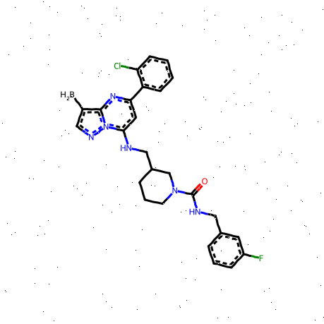 Bc1cnn2c(NCC3CCCN(C(=O)NCc4cccc(F)c4)C3)cc(-c3ccccc3Cl)nc12